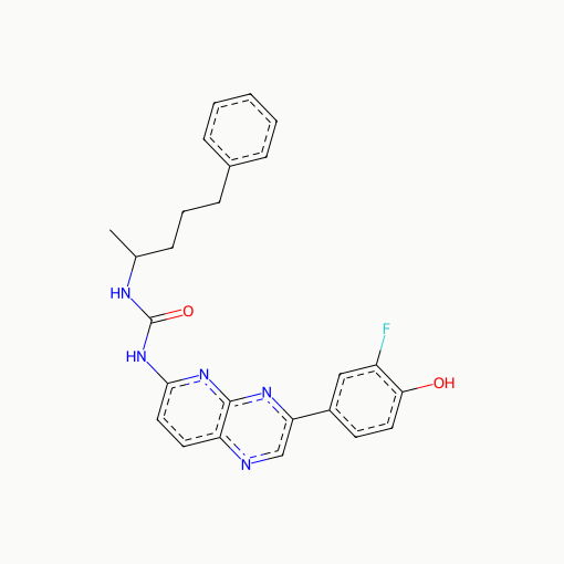 CC(CCCc1ccccc1)NC(=O)Nc1ccc2ncc(-c3ccc(O)c(F)c3)nc2n1